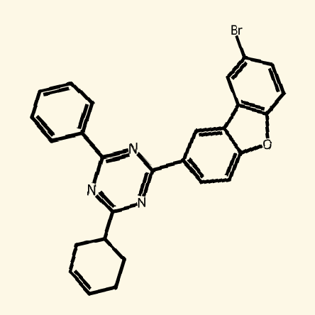 Brc1ccc2oc3ccc(-c4nc(-c5ccccc5)nc(C5CC=CCC5)n4)cc3c2c1